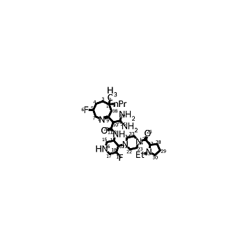 CCCC1(C)CCC(F)C/N=C(/C(C(=O)NC2CNCC(F)C2N2CCN(C(=O)C3CCCN3CC)CC2)C(N)N)C1